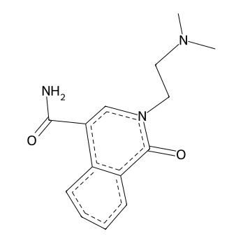 CN(C)CCn1cc(C(N)=O)c2ccccc2c1=O